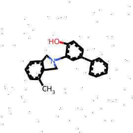 Cc1cccc2c1CN(c1cc(-c3ccccc3)ccc1O)C2